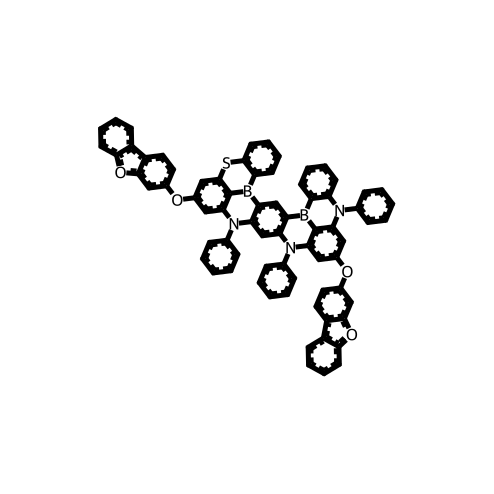 c1ccc(N2c3cc4c(cc3B3c5ccccc5Sc5cc(Oc6ccc7c(c6)oc6ccccc67)cc2c53)B2c3ccccc3N(c3ccccc3)c3cc(Oc5ccc6c(c5)oc5ccccc56)cc(c32)N4c2ccccc2)cc1